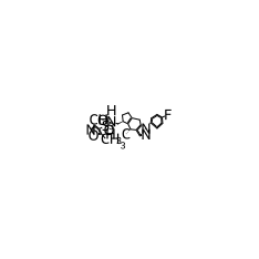 Cc1noc(C)c1S(=O)(=O)NC[C@H]1CCC2=C1[C@@H](C)c1cnn(-c3ccc(F)cc3)c1C2